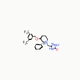 O=c1[nH]nc(CN2CCC[C@@H](OCc3cc(C(F)(F)F)cc(C(F)(F)F)c3)[C@H]2c2ccccc2)[nH]1